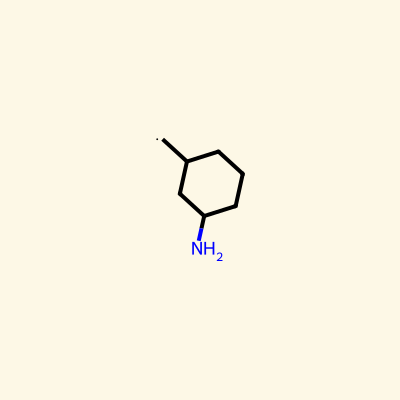 [CH2]C1CCCC(N)C1